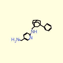 NCc1ccc(NCC23CC4CC2CC(c2ccccc2)(C4)C3)nc1